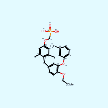 COCOc1ccc(Cc2c(C)cc(OCP(=O)(O)O)cc2C)cc1Oc1cccc(C(F)(F)F)c1